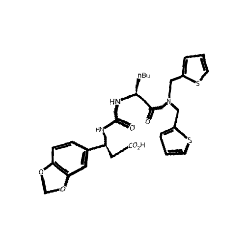 CCCC[C@H](NC(=O)N[C@@H](CC(=O)O)c1ccc2c(c1)OCO2)C(=O)N(Cc1cccs1)Cc1cccs1